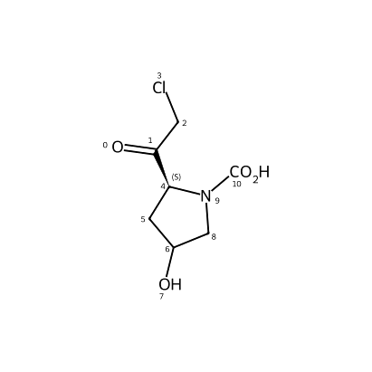 O=C(CCl)[C@@H]1CC(O)CN1C(=O)O